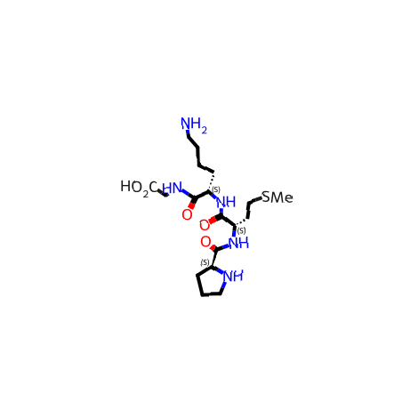 CSCC[C@H](NC(=O)[C@@H]1CCCN1)C(=O)N[C@@H](CCCCN)C(=O)NCC(=O)O